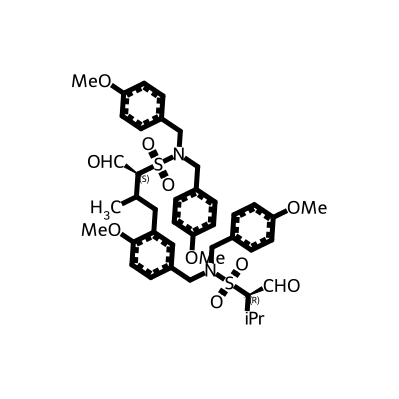 COc1ccc(CN(Cc2ccc(OC)cc2)S(=O)(=O)[C@H](C=O)C(C)Cc2cc(CN(Cc3ccc(OC)cc3)S(=O)(=O)[C@@H](C=O)C(C)C)ccc2OC)cc1